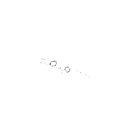 Br.CCCCCCCCOc1ccc(CC(=O)Nc2cccc(CN3CSC=C3C)c2)cc1Cl